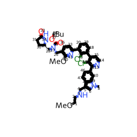 COCCNCc1cn(C)c2cc(-c3nccc(-c4cccc(-c5ccc(CN(C[C@@H]6CCC(=O)N6)C(=O)OC(C)(C)C)c(OC)n5)c4Cl)c3Cl)ccc12